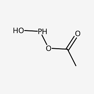 CC(=O)OPO